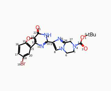 CC(C)(C)OC(=O)N1CCn2cc(-c3nc4c(oc5ccc(Br)cc54)c(=O)[nH]3)nc2C1